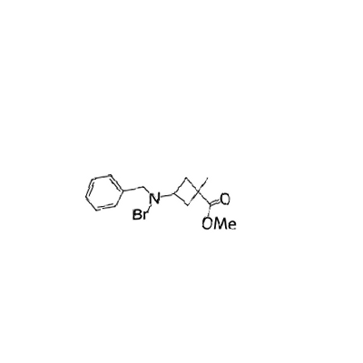 COC(=O)C1(C)CC(N(Br)Cc2ccccc2)C1